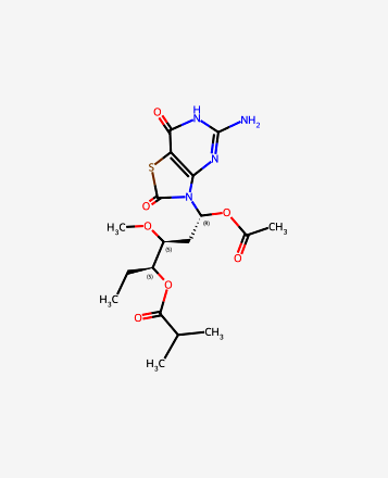 CC[C@H](OC(=O)C(C)C)[C@H](C[C@@H](OC(C)=O)n1c(=O)sc2c(=O)[nH]c(N)nc21)OC